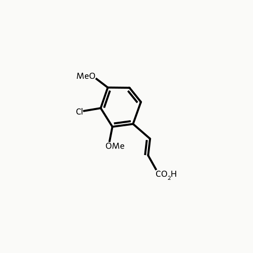 COc1ccc(C=CC(=O)O)c(OC)c1Cl